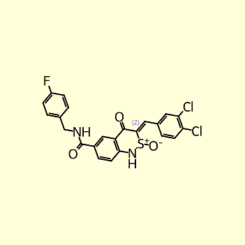 O=C(NCc1ccc(F)cc1)c1ccc2c(c1)C(=O)/C(=C/c1ccc(Cl)c(Cl)c1)[S+]([O-])N2